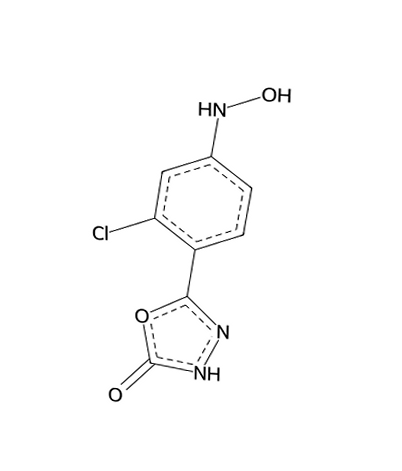 O=c1[nH]nc(-c2ccc(NO)cc2Cl)o1